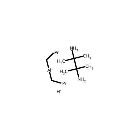 CC(C)(N)C(C)(C)N.CC(C)[CH2][Al+][CH2]C(C)C.[H-]